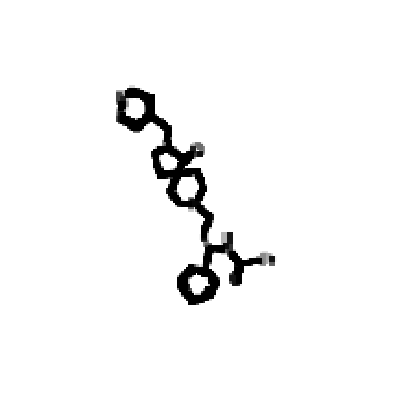 CC(C)C(=O)N[C@@H](CCN1CCC2(CC1)CCN(Cc1ccncc1)C2=O)c1ccccc1